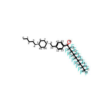 CCCCC[C@H]1CC[C@H](CCc2ccc(C(=O)C(F)(F)C(F)(F)C(F)(F)C(F)(F)C(F)(F)C(F)(F)C(F)(F)C(F)(F)F)cc2)CC1